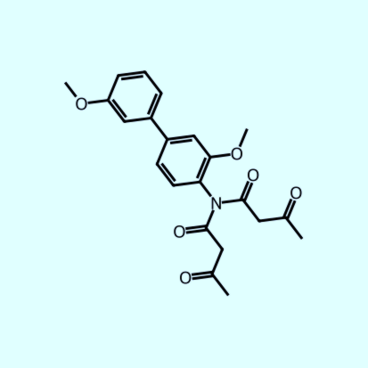 COc1cccc(-c2ccc(N(C(=O)CC(C)=O)C(=O)CC(C)=O)c(OC)c2)c1